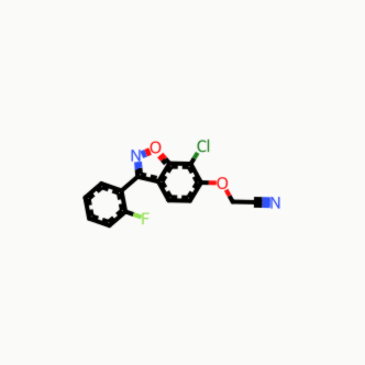 N#CCOc1ccc2c(-c3ccccc3F)noc2c1Cl